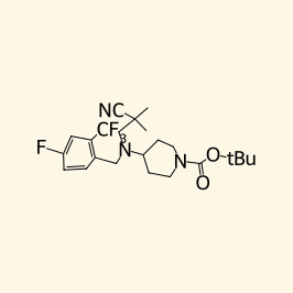 CC(C)(C#N)CN(Cc1ccc(F)cc1C(F)(F)F)C1CCN(C(=O)OC(C)(C)C)CC1